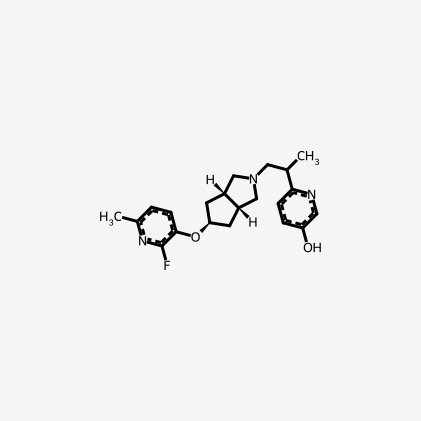 Cc1ccc(O[C@H]2C[C@@H]3CN(CC(C)c4ccc(O)cn4)C[C@@H]3C2)c(F)n1